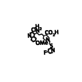 COc1ccc2ncc(Cl)c(C(N)CCC3CCN(CCSc4cc(F)ccn4)CC3C(=O)O)c2c1